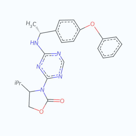 CC(C)C1COC(=O)N1c1ncnc(N[C@H](C)c2ccc(Oc3ccccc3)cc2)n1